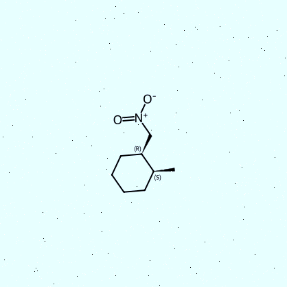 C[C@H]1CCCC[C@H]1C[N+](=O)[O-]